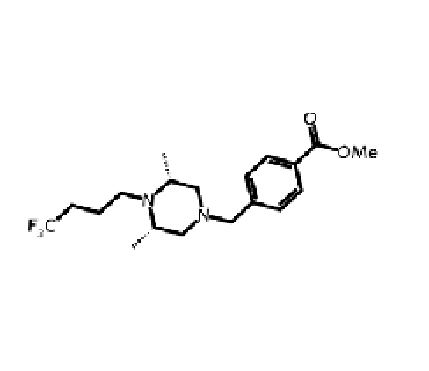 COC(=O)c1ccc(CN2C[C@@H](C)N(CCCC(F)(F)F)[C@@H](C)C2)cc1